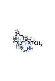 CCCCCCCCCCC.NCCCC1CNCCNCNCCCN1